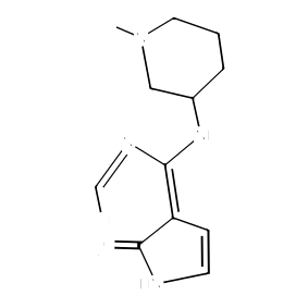 C=c1[nH]cc/c1=C(/N=C\C)NC1CCCN(C)C1